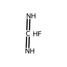 F.N=C=N